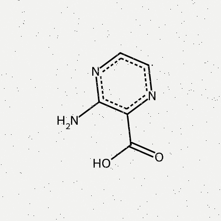 Nc1nc[c]nc1C(=O)O